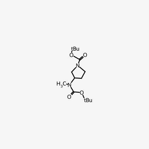 CN(C(=O)OC(C)(C)C)C1CCN(C(=O)OC(C)(C)C)C1